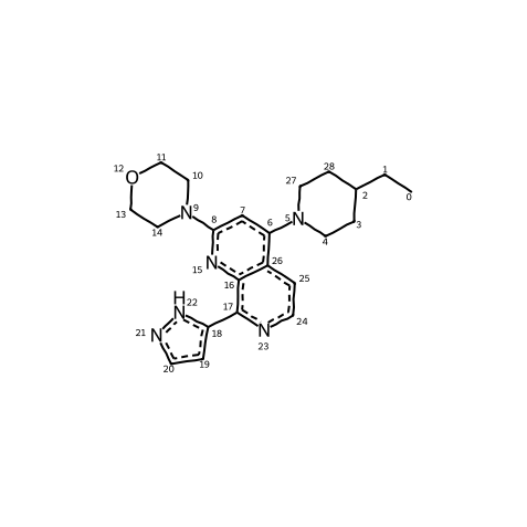 CCC1CCN(c2cc(N3CCOCC3)nc3c(-c4ccn[nH]4)nccc23)CC1